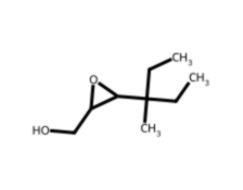 CCC(C)(CC)C1OC1CO